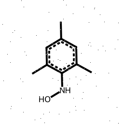 Cc1cc(C)c(NO)c(C)c1